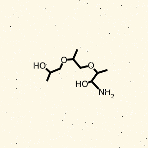 CC(O)COC(C)COC(C)C(N)O